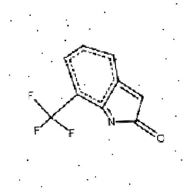 O=C1C=c2cccc(C(F)(F)F)c2=N1